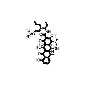 CCCN(CCO[N+](=O)[O-])C(CC)NC(=O)C1=C(O)[C@@H](N(C)C)[C@@H]2[C@@H](O)[C@H]3C(=C(O)[C@]2(O)C1=O)C(=O)c1c(O)cccc1[C@@H]3C